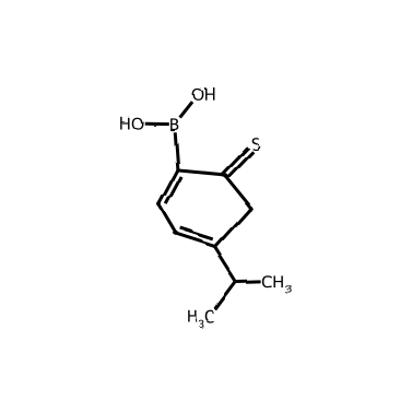 CC(C)C1=CC=C(B(O)O)C(=S)C1